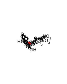 CC1(C)O[C@@H]2CC3C4CCC5=CC(=O)C=C[C@]5(C)[C@@]4(F)[C@@H](O)C[C@]3(C)[C@]2(C(=O)COC(=O)CC(N)C(=O)OCC(CO[N+](=O)[O-])O[N+](=O)[O-])O1.Cl